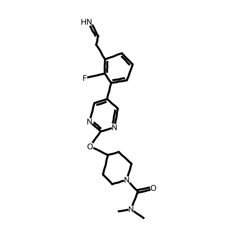 CN(C)C(=O)N1CCC(Oc2ncc(-c3cccc(CC=N)c3F)cn2)CC1